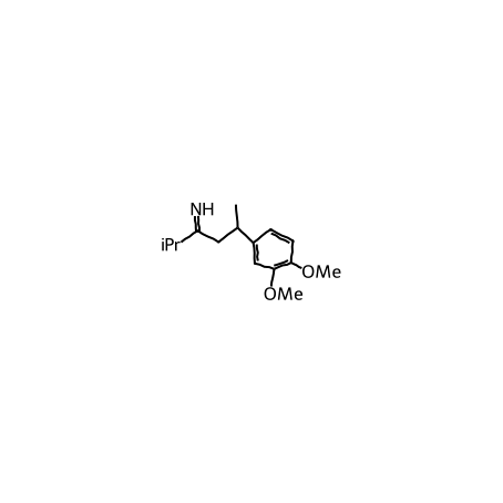 [CH2]C(C)C(=N)CC(C)c1ccc(OC)c(OC)c1